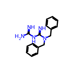 N=C(N)NC(=N)N(Cc1ccccc1)Cc1ccccc1